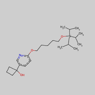 CC(C)[Si](OCCCCCOc1ccc(C2(O)CCC2)cn1)(C(C)C)C(C)C